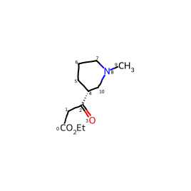 CCOC(=O)CC(=O)[C@@H]1CCCN(C)C1